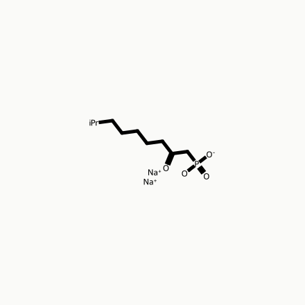 CC(C)CCCCCC(=O)CP(=O)([O-])[O-].[Na+].[Na+]